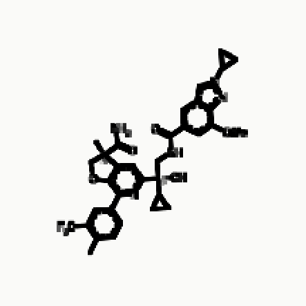 COc1cc(C(=O)NC[C@](O)(c2cc3c(c(-c4ccc(C)c(C(F)(F)F)c4)n2)OC[C@]3(C)C(N)=O)C2CC2)cc2cn(C3CC3)nc12